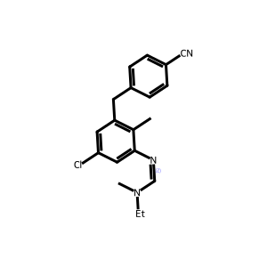 CCN(C)/C=N\c1cc(Cl)cc(Cc2ccc(C#N)cc2)c1C